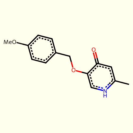 COc1ccc(COc2c[nH]c(C)cc2=O)cc1